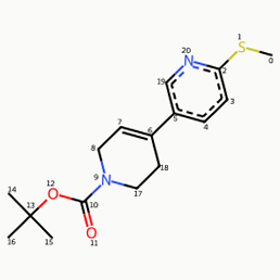 CSc1ccc(C2=CCN(C(=O)OC(C)(C)C)CC2)cn1